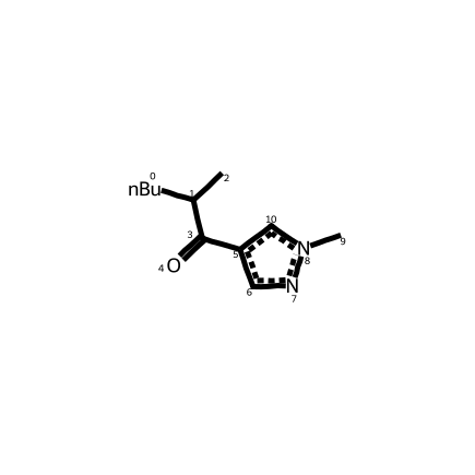 CCCCC(C)C(=O)c1cnn(C)c1